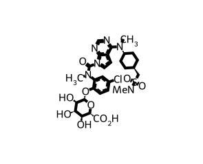 CNS(=O)(=O)C[C@H]1CC[C@H](N(C)c2ncnc3c2ccn3C(=O)N(C)c2cc(Cl)ccc2O[C@@H]2O[C@H](C(=O)O)[C@@H](O)[C@H](O)[C@H]2O)CC1